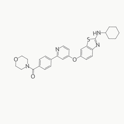 O=C(c1ccc(-c2cc(Oc3ccc4nc(NC5CCCCC5)sc4c3)ccn2)cc1)N1CCOCC1